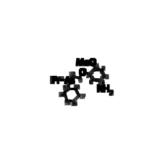 COc1ccc(N)cc1OCC[As](C(C)C)C1CCCCC1